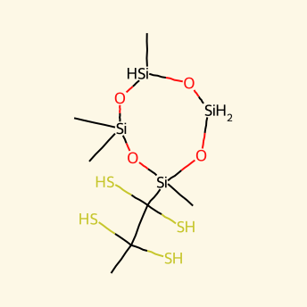 C[SiH]1O[SiH2]O[Si](C)(C(S)(S)C(C)(S)S)O[Si](C)(C)O1